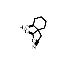 C=C1CCCCC1(CC#N)C(=O)O